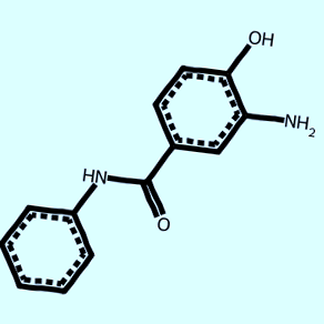 Nc1cc(C(=O)Nc2ccccc2)ccc1O